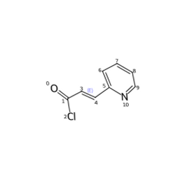 O=C(Cl)/C=C/c1ccccn1